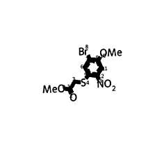 COC(=O)CSc1cc(Br)c(OC)cc1[N+](=O)[O-]